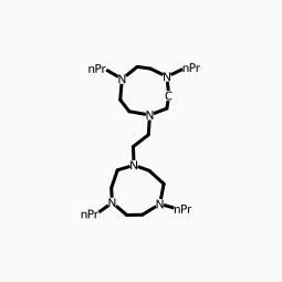 CCCN1CCN(CCC)CCN(CCN2CCN(CCC)CCN(CCC)CC2)CC1